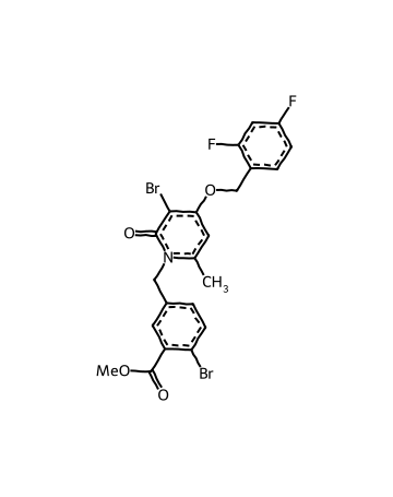 COC(=O)c1cc(Cn2c(C)cc(OCc3ccc(F)cc3F)c(Br)c2=O)ccc1Br